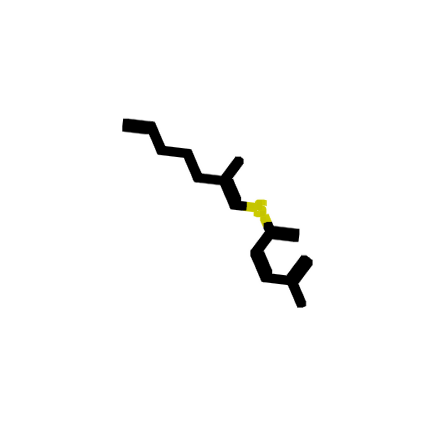 C=CCCC/C(C)=C/SC(=C)/C=C\C(=C)C